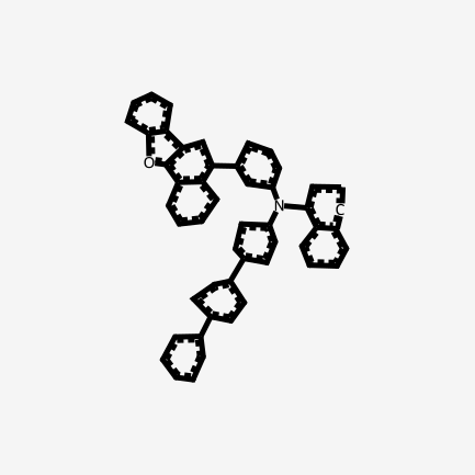 c1ccc(-c2ccc(-c3ccc(N(c4cccc(-c5cc6c7ccccc7oc6c6ccccc56)c4)c4cccc5ccccc45)cc3)cc2)cc1